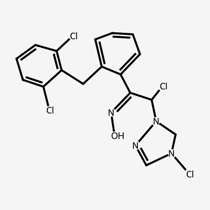 ON=C(c1ccccc1Cc1c(Cl)cccc1Cl)C(Cl)N1CN(Cl)C=N1